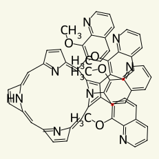 COc1c(-c2c(-c3ccc4cccnc4c3OC)c3c(-c4ccc5cccnc5c4OC)c4nc(cc5ccc(cc6nc(cc2n3-c2ccc3cccnc3c2OC)C=C6)[nH]5)C=C4)ccc2cccnc12